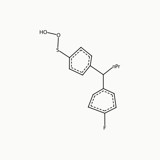 CCCC(c1ccc(F)cc1)c1ccc(SOO)cc1